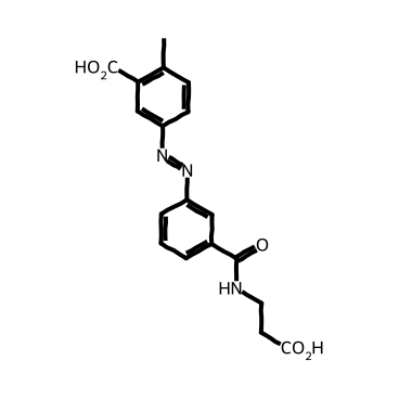 Cc1ccc(/N=N/c2cccc(C(=O)NCCC(=O)O)c2)cc1C(=O)O